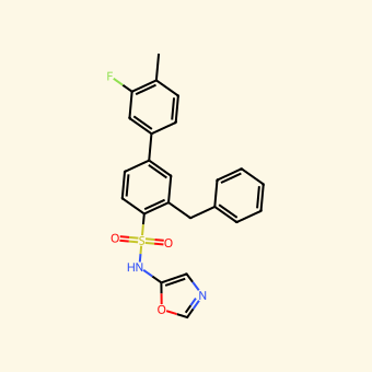 Cc1ccc(-c2ccc(S(=O)(=O)Nc3cnco3)c(Cc3ccccc3)c2)cc1F